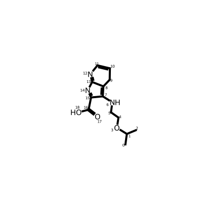 CC(C)OCCNC1=C2CC=CN=C2N=C1C(=O)O